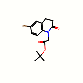 CC(C)(C)OC(=O)CN1C(=O)CCc2cc(Br)ccc21